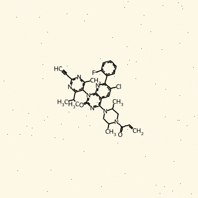 C#Cc1nc(C)c(-n2c(=O)nc(N3CC(C)N(C(=O)C=C)CC3C)c3cc(Cl)c(-c4ccccc4F)nc32)c(C(C)C)n1